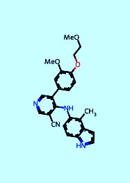 COCCOc1ccc(-c2cncc(C#N)c2Nc2ccc3[nH]ccc3c2C)cc1OC